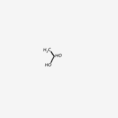 CCO.[OH]